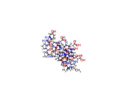 CC(C)C[C@H](NC(=O)[C@H](CCC(=O)O)NC(=O)[C@H](CCC(=O)O)NC(=O)[C@@H]1CCCN1C(=O)[C@@H]1CCCN1C(=O)[C@H](C)NC(=O)[C@H](CC(=O)O)NC(=O)[C@H](CCC(=O)O)NC(=O)CNC(=O)[C@@H]1CCCN1C(=O)[C@H](CC(N)=O)NC(=O)[C@H](CCC(=O)O)NC(=O)[C@@H]1CCCN1C(=O)[C@H](CCCCN)NC(=O)[C@@H]1CCCN1C(=O)[C@@H]1CCCN1C(=O)[C@@H](N)Cc1ccc(O)cc1)C(=O)N[C@@H](C)C(=O)N[C@@H](CCCCN)C(=O)O